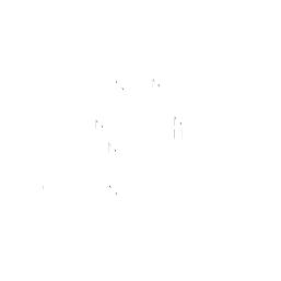 Cc1ccc(Nc2ncnc3nn(-c4cc(C(F)(F)F)ccn4)cc23)cc1